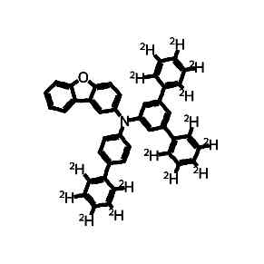 [2H]c1c([2H])c([2H])c(-c2ccc(N(c3cc(-c4c([2H])c([2H])c([2H])c([2H])c4[2H])cc(-c4c([2H])c([2H])c([2H])c([2H])c4[2H])c3)c3ccc4oc5ccccc5c4c3)cc2)c([2H])c1[2H]